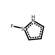 F[si]1ccc[nH]1